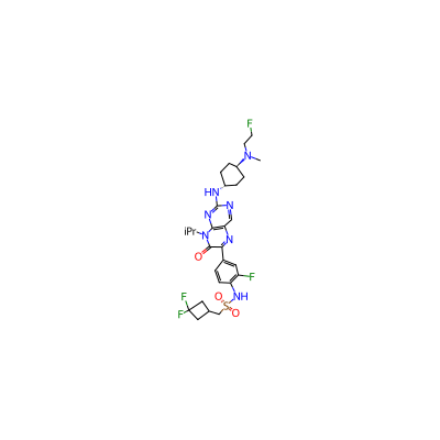 CC(C)n1c(=O)c(-c2ccc(NS(=O)(=O)CC3CC(F)(F)C3)c(F)c2)nc2cnc(N[C@H]3CC[C@H](N(C)CCF)CC3)nc21